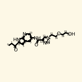 CCC(=O)c1cc2cc(NC(=O)c3cn(CCOCCO)nn3)cnc2[nH]1